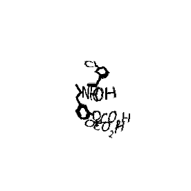 CC(Cc1ccc2c(c1)OC(C(=O)O)(C(=O)O)O2)NC[C@@H](O)c1cccc(Cl)c1